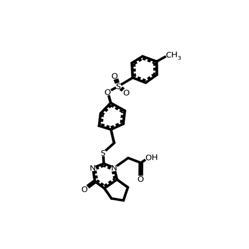 Cc1ccc(S(=O)(=O)Oc2ccc(CSc3nc(=O)c4c(n3CC(=O)O)CCC4)cc2)cc1